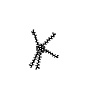 CC(C)CCCCCCCCCCOC(=O)C1=C(C(=O)OCCCCCCCCCCC(C)C)C(C(=O)OCCCCCCCCCCC(C)C)C(C(=O)OCCCCCCCCCCC(C)C)=C1C(=O)OCCCCCCCCCCC(C)C